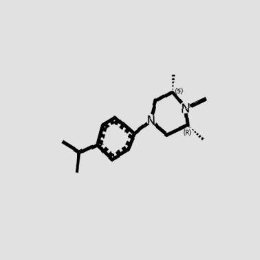 CC(C)c1ccc(N2C[C@@H](C)N(C)[C@@H](C)C2)cc1